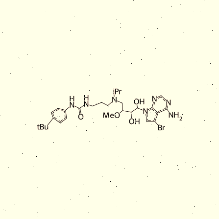 COC(CN(CCCNC(=O)Nc1ccc(C(C)(C)C)cc1)C(C)C)C(O)C(O)n1cc(Br)c2c(N)ncnc21